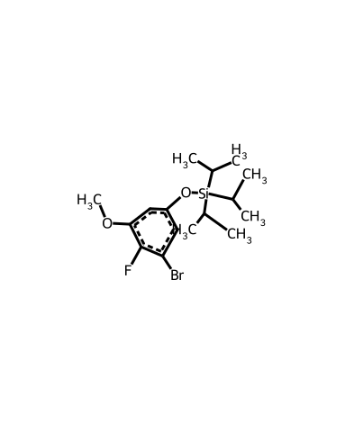 COc1cc(O[Si](C(C)C)(C(C)C)C(C)C)cc(Br)c1F